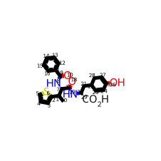 CC(c1cccs1)[C@H](NC(=O)c1ccccc1)C(=O)N[C@@H](CC1C=CC(O)=CC1)C(=O)O